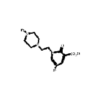 CCOC(=O)c1cc(Br)cn(CCN2CCN(C(C)C)CC2)c1=O